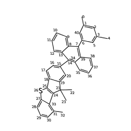 Cc1cc(C)cc(-c2c3ccccc3c(-c3ccc4c(c3)C(C)(C)c3c-4sc4cccc(C)c34)c3ccccc23)c1